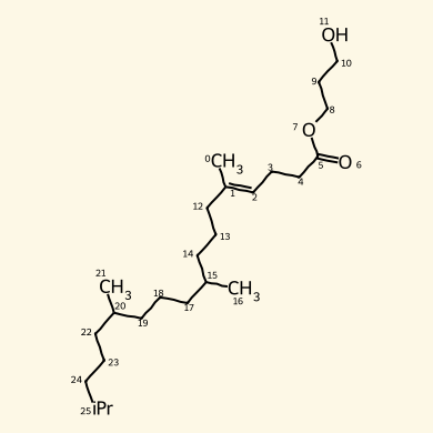 CC(=CCCC(=O)OCCCO)CCCC(C)CCCC(C)CCCC(C)C